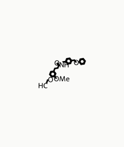 C#CCOc1ccc(CCC(=O)NCc2ccc(COc3ccccc3)cc2)cc1OC